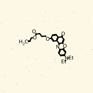 C=CCOC(=O)CCCOc1ccc2c(=O)cc3oc4cc(N(CC)CC)ccc4nc-3c2c1